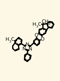 Cc1ccc(-c2nc(-c3ccccc3)nc(-c3ccc4c(c3)Oc3cc5c(cc3O4)-c3ccccc3C5(C)C)n2)c2c1CCC=C2